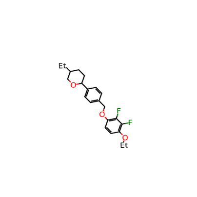 CCOc1ccc(OCc2ccc(C3CCC(CC)CO3)cc2)c(F)c1F